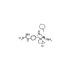 CN[C@H](CC1CCCCC1)C(=O)[N+]1(Cc2ccc(NC(=N)N)cc2)CC[C@@H]2C[C@@]21C(N)=O